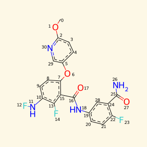 COc1ccc(Oc2ccc(NF)c(F)c2C(=O)Nc2ccc(F)c(C(N)=O)c2)cn1